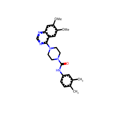 COc1cc2ncnc(N3CCN(C(=O)Nc4ccc(C)c(C)c4)CC3)c2cc1OC